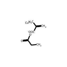 C=C(C)C(=O)[O-].CCC(=O)[O-].[Cu+2]